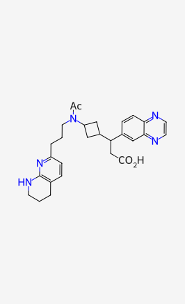 CC(=O)N(CCCc1ccc2c(n1)NCCC2)C1CC(C(CC(=O)O)c2ccc3nccnc3c2)C1